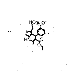 CCOC(=O)C1=C(C)Nc2snc(CCO)c2C1c1cccc([N+](=O)[O-])c1